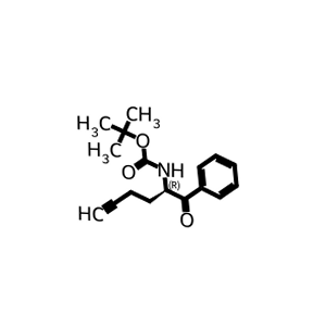 C#CCC[C@@H](NC(=O)OC(C)(C)C)C(=O)c1ccccc1